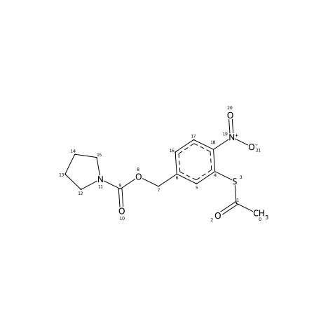 CC(=O)Sc1cc(COC(=O)N2CCCC2)ccc1[N+](=O)[O-]